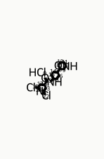 Cl.O=C(Nc1ccc(C2CNCCO2)cc1)c1cc(Cl)nc(Cl)c1